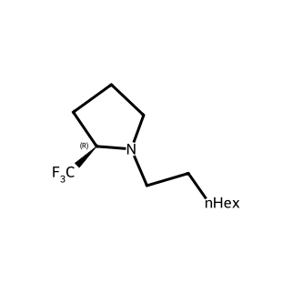 CCCCCCCCN1CCC[C@@H]1C(F)(F)F